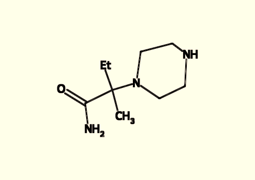 CCC(C)(C(N)=O)N1CCNCC1